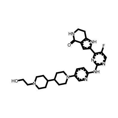 O=C1NCCc2[nH]c(-c3nc(Nc4ccc(N5CCC(C6CCN(CCO)CC6)CC5)cn4)ncc3F)cc21